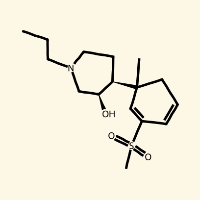 CCCN1CC[C@@H](C2(C)C=C(S(C)(=O)=O)C=CC2)[C@@H](O)C1